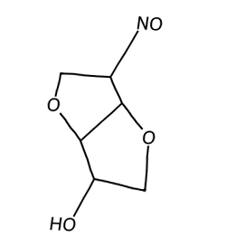 O=NC1COC2C(O)COC12